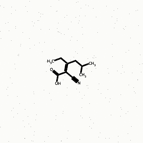 CCC(CC(C)C)=C(C#N)C(=O)O